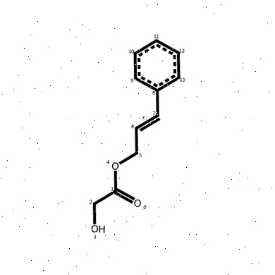 O=C(CO)OC/C=C/c1ccccc1